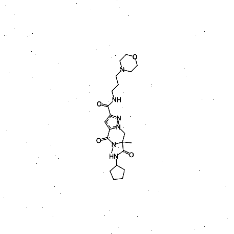 CN1C(=O)c2cc(C(=O)NCCCN3CCOCC3)nn2CC1(C)C(=O)NC1CCCC1